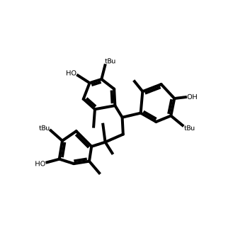 Cc1cc(O)c(C(C)(C)C)cc1C(CC(C)(C)c1cc(C(C)(C)C)c(O)cc1C)c1cc(C(C)(C)C)c(O)cc1C